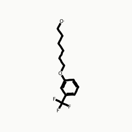 [O]CCCCCCOc1cccc(C(F)(F)F)c1